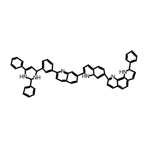 C1=CC2=CC=C(c3ccc4ccc(-c5cccc(C6C=C(c7ccccc7)NC(c7ccccc7)N6)c5)nc4c3)NC2C=C1c1ccc2ccc3c(c2n1)NC(c1ccccc1)C=C3